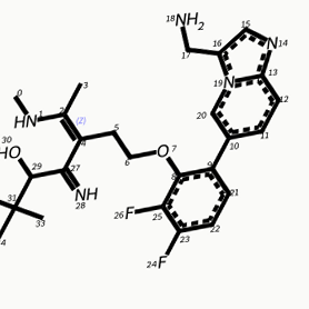 CN/C(C)=C(/CCOc1c(-c2ccc3ncc(CN)n3c2)ccc(F)c1F)C(=N)C(O)C(C)(C)C